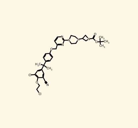 CC(C)(C)OC(=O)N1CC(N2CCN(c3nccc(COc4ccc(C(C)(C)c5cc(Cl)c(OCCCl)c(C#N)c5)cc4)n3)CC2)C1